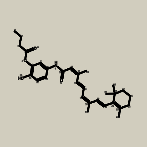 CCCC(=O)Oc1cc(NC(=O)C=C(C)C=CC=C(C)C=CC2=C(C)CCCC2(C)C)ccc1O